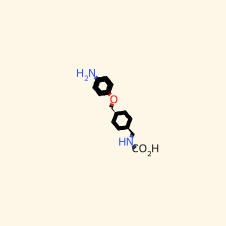 Nc1ccc(OC[C@H]2CC[C@H](CNC(=O)O)CC2)cc1